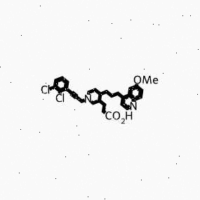 COc1ccc2nccc(CCCC3CCN(CC#Cc4cccc(Cl)c4Cl)CC3CCC(=O)O)c2c1